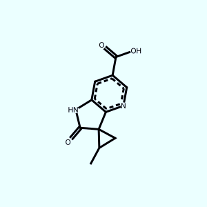 CC1CC12C(=O)Nc1cc(C(=O)O)cnc12